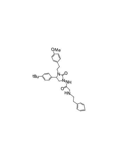 COc1ccc(CCN2C(=O)N(NC(=O)CNCCc3ccccc3)CC2c2ccc(C(C)(C)C)cc2)cc1